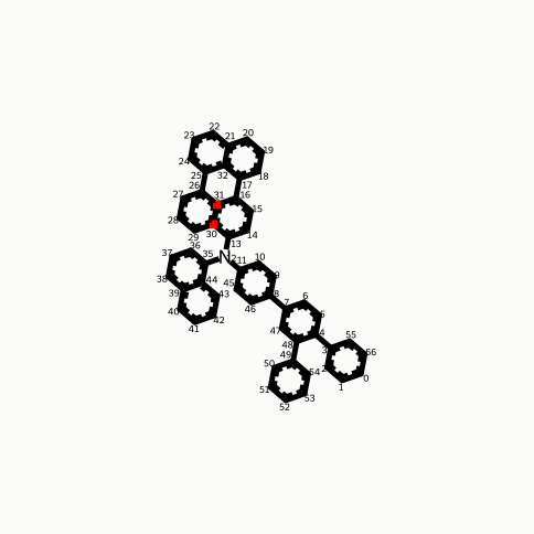 c1ccc(-c2ccc(-c3ccc(N(c4ccc(-c5cccc6cccc(-c7ccccc7)c56)cc4)c4cccc5ccccc45)cc3)cc2-c2ccccc2)cc1